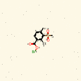 CCc1c(C(=O)OBr)ccc(C)c1S(C)(=O)=O